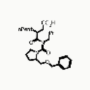 CCCCCC(CC(=O)O)C(=O)N(CC(C)C)C(=O)N1CCCC1COCc1ccccc1